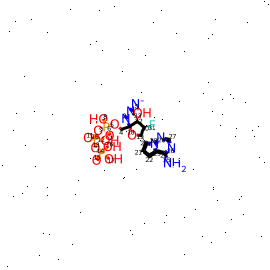 [N-]=[N+]=NC1(COP(=O)(O)OP(=O)(O)OP(=O)(O)O)O[C@@H](c2ccc3c(N)ncnn23)[C@H](F)[C@@H]1O